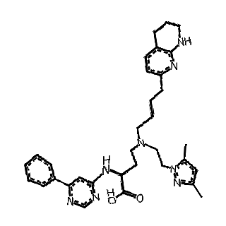 Cc1cc(C)n(CCN(CCCCc2ccc3c(n2)NCCC3)CCC(Nc2cc(-c3ccccc3)ncn2)C(=O)O)n1